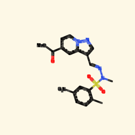 COC(=O)c1ccn2ncc(/C=N/N(C)S(=O)(=O)c3cc([N+](=O)[O-])ccc3C)c2c1